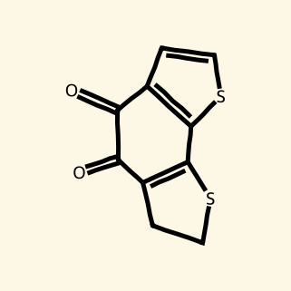 O=C1C(=O)c2ccsc2C2=C1CCS2